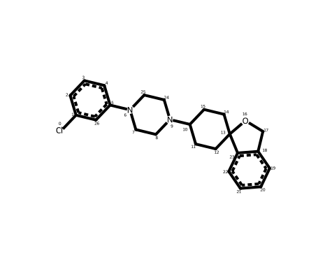 Clc1cccc(N2CCN(C3CCC4(CC3)OCc3ccccc34)CC2)c1